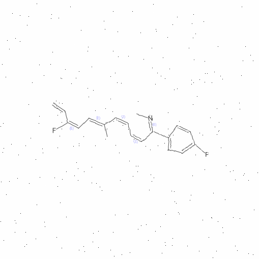 C=C\C(F)=C/C=C(C)/C=C\C=C/C(=N\C)c1ccc(F)cc1